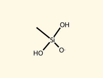 C[Si]([O])(O)O